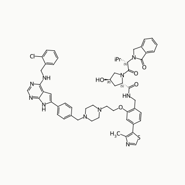 Cc1ncsc1-c1ccc(CNC(=O)[C@@H]2C[C@@H](O)CN2C(=O)[C@H](C(C)C)N2Cc3ccccc3C2=O)c(OCCN2CCN(Cc3ccc(-c4cc5c(NCc6ccccc6Cl)ncnc5[nH]4)cc3)CC2)c1